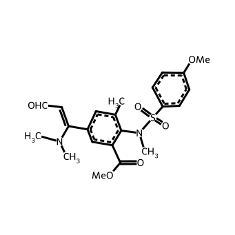 COC(=O)c1cc(C(=CC=O)N(C)C)cc(C)c1N(C)S(=O)(=O)c1ccc(OC)cc1